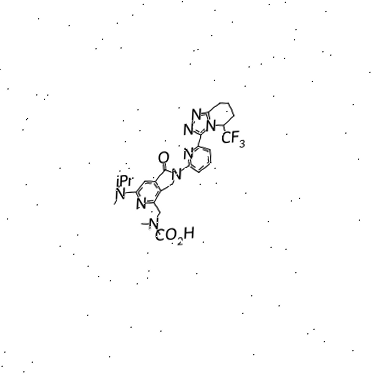 CC(C)N(C)c1cc2c(c(CN(C)C(=O)O)n1)CN(c1cccc(-c3nnc4n3C(C(F)(F)F)CCC4)n1)C2=O